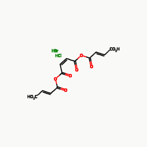 Br.Cl.O=C(O)/C=C/C(=O)OC(=O)/C=C\C(=O)OC(=O)/C=C/C(=O)O